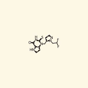 O=c1[nH]c(=S)n(Cc2ccnn2CC(F)F)c2cc[nH]c12